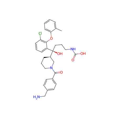 Cc1ccccc1Oc1c(Cl)cccc1[C@](O)(CCCNC(=O)O)[C@@H]1CCCN(C(=O)c2ccc(CN)cc2)C1